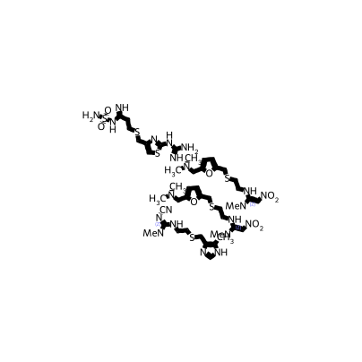 CN/C(=C/[N+](=O)[O-])NCCSCc1ccc(CN(C)C)o1.CN/C(=C/[N+](=O)[O-])NCCSCc1ccc(CN(C)C)o1.CN/C(=N/C#N)NCCSCc1nc[nH]c1C.N=C(N)Nc1nc(CSCCC(=N)NS(N)(=O)=O)cs1